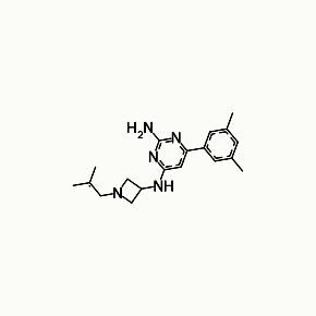 C[C](C)CN1CC(Nc2cc(-c3cc(C)cc(C)c3)nc(N)n2)C1